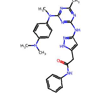 Cc1nc(Nc2cc(CC(=O)Nc3ccccc3)[nH]n2)nc(N(C)c2ccc(N(C)C)cc2)n1